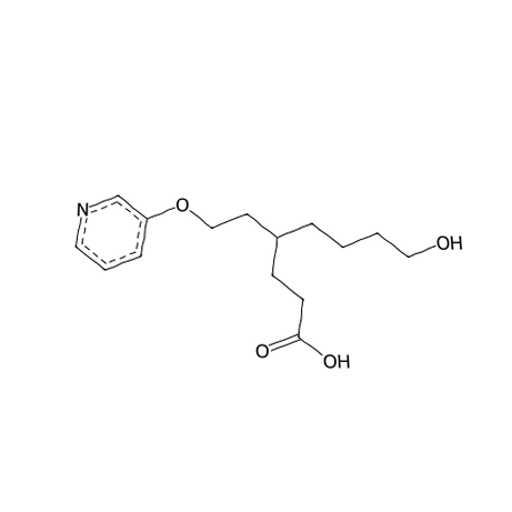 O=C(O)CCC(CCCCO)CCOc1cccnc1